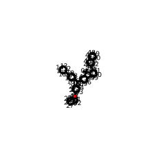 CC1(C)c2cc(N(c3ccc(C4CCCCC4)cc3)c3ccc(C4C5CC6CC(C5)CC4C6)cc3)ccc2-c2cccc(-c3ccc4ccccc4c3)c21